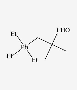 C[CH2][Pb]([CH2]C)([CH2]C)[CH2]C(C)(C)C=O